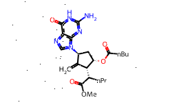 C=C1[C@@H](C(CCC)C(=O)OC)[C@@H](OC(=O)CCCC)C[C@@H]1n1cnc2c(=O)[nH]c(N)nc21